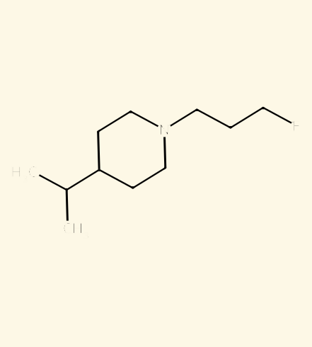 CC(C)C1CCN(CCCF)CC1